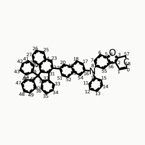 C1=Cc2c(oc3ccc(N(c4ccccc4)c4ccc5cc(-c6cc7ccccc7c7c6-c6ccccc6C7(c6ccccc6)c6ccccc6)ccc5c4)cc23)CC1